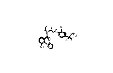 CCN(C(=O)c1cccc(Cl)c1-n1nccn1)[C@@H](C)COc1ncc(C(F)(F)P)cc1F